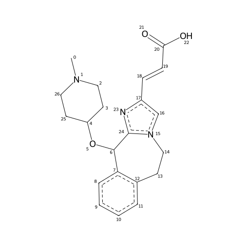 CN1CCC(OC2c3ccccc3CCn3cc(C=CC(=O)O)nc32)CC1